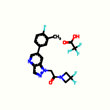 Cc1cc(-c2cnc3cnn(CC(=O)N4CC(F)(F)C4)c3c2)ccc1F.O=C(O)C(F)(F)F